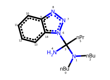 CCCCN(CCCC)C(N)(CCC)n1nnc2ccccc21